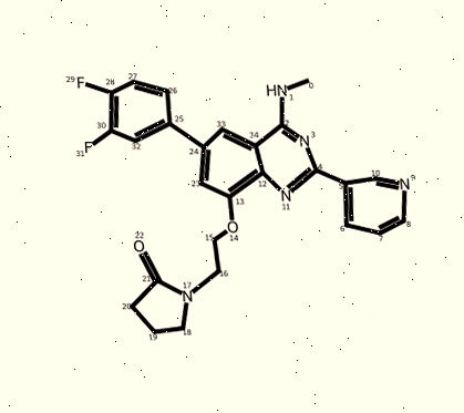 CNc1nc(-c2cccnc2)nc2c(OCCN3CCCC3=O)cc(-c3ccc(F)c(F)c3)cc12